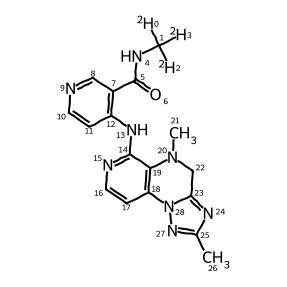 [2H]C([2H])([2H])NC(=O)c1cnccc1Nc1nccc2c1N(C)Cc1nc(C)nn1-2